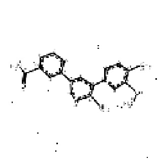 COc1cc(-c2cc(-c3cccc(C(N)=O)c3)cnc2N)ccc1C